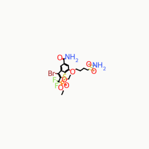 CCOP(=O)(OCC)C(F)(F)c1sc2c(OCCCCS(N)(=O)=O)cc(C(N)=O)cc2c1Br